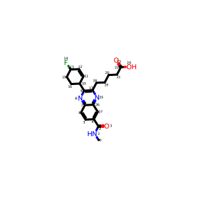 CNC(=O)c1ccc2nc(C3C=CC(F)CC3)c(CCCCC(=O)O)nc2c1